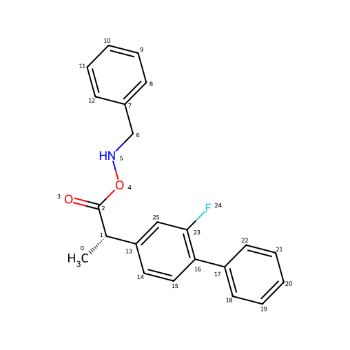 C[C@H](C(=O)ONCc1ccccc1)c1ccc(-c2ccccc2)c(F)c1